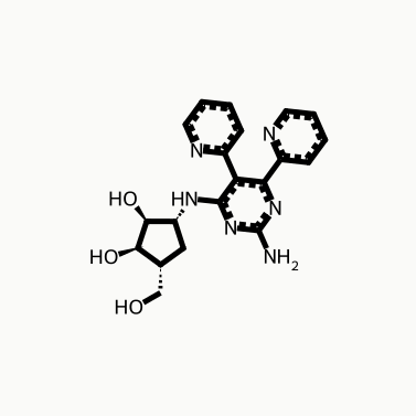 Nc1nc(N[C@@H]2C[C@H](CO)[C@@H](O)[C@H]2O)c(-c2ccccn2)c(-c2ccccn2)n1